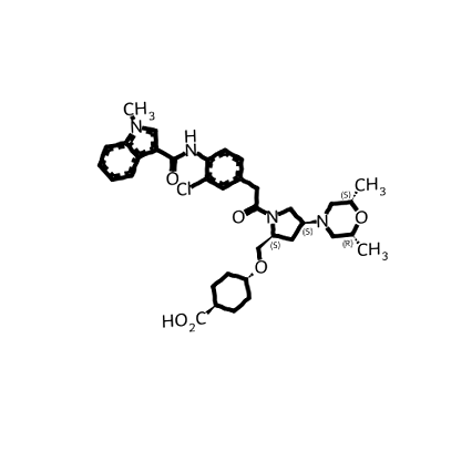 C[C@@H]1CN([C@H]2C[C@@H](CO[C@H]3CC[C@H](C(=O)O)CC3)N(C(=O)Cc3ccc(NC(=O)c4cn(C)c5ccccc45)c(Cl)c3)C2)C[C@H](C)O1